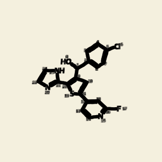 OC(c1ccc(Cl)cc1)c1cc(-c2ccnc(F)c2)sc1-c1ncc[nH]1